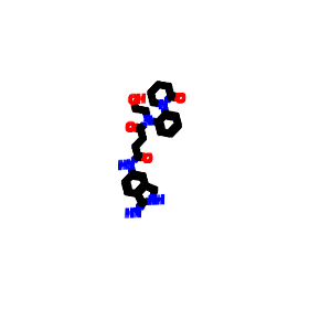 N=C1NCc2cc(NC(=O)CCC(=O)N(CCO)c3ccccc3N3CCCCC3=O)ccc21